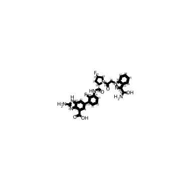 Nc1nc2c(C(=O)O)cc(-c3cccc(NC(=O)[C@@H]4C[C@@H](F)CN4C(=O)Cn4nc(C(N)O)c5ccccc54)c3F)cc2[nH]1